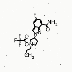 CCC[N+]1(OC(=O)C(F)(F)F)CCC(n2cc3cc(F)cc(C(N)=O)c3n2)C1